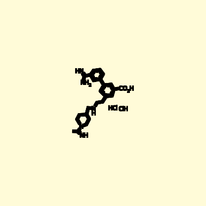 CC(=N)N1CCC(CNCCc2cc(C(=O)O)cc(-c3cccc(C(=N)N)c3)c2)CC1.Cl.Cl